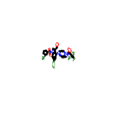 O=Cc1cn(S(=O)(=O)c2cccc(Br)c2)c2cc(Cl)cc(N3CCN(C(=O)C(F)(F)F)CC3)c12